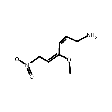 COC(/C=C\CN)=C/C[N+](=O)[O-]